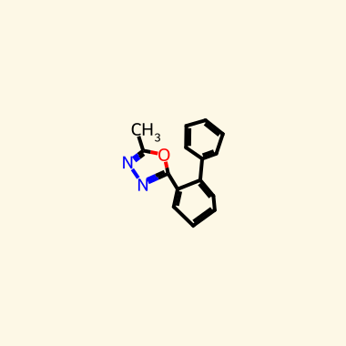 Cc1nnc(-c2ccccc2-c2ccccc2)o1